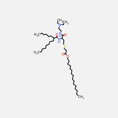 CCCCCCCCCCCCCCCCOC(=O)CCSCCC(NC(=O)C(CCCCCC)CCCCCCCC)C(=O)NCCN(CC)CC